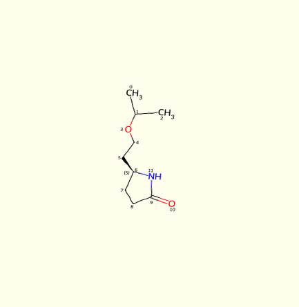 CC(C)OCC[C@@H]1CCC(=O)N1